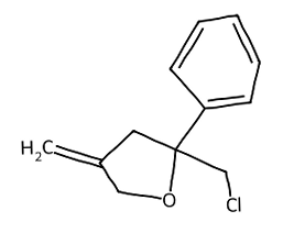 C=C1COC(CCl)(c2ccccc2)C1